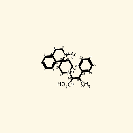 CC(=O)N1CCc2ccccc2C12CCN(C(C(=O)O)C(C)c1ccccc1)CC2